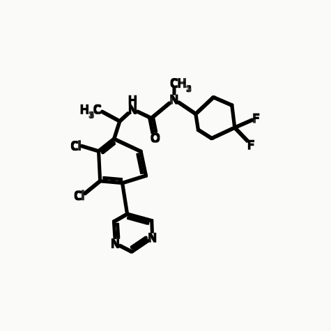 CC(NC(=O)N(C)C1CCC(F)(F)CC1)c1ccc(-c2cncnc2)c(Cl)c1Cl